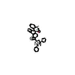 c1ccc(-c2cc(-c3coc4c5c(ccc34)C3(c4ccccc4Sc4ccccc43)c3ccccc3-5)nc(-c3ccccc3)n2)cc1